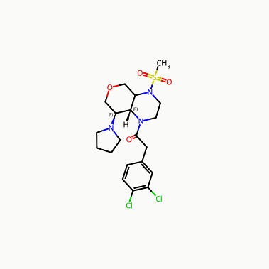 CS(=O)(=O)N1CCN(C(=O)Cc2ccc(Cl)c(Cl)c2)[C@H]2C1COC[C@@H]2N1CCCC1